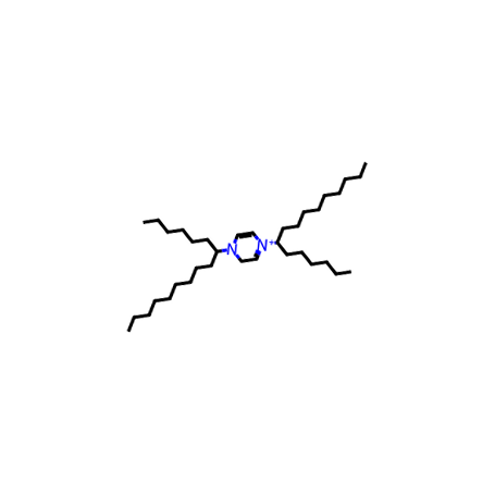 CCCCCCCCCC(CCCCCC)N1C=C[N+](C(CCCCCC)CCCCCCCCC)=CC1